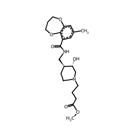 COC(=O)CCCN1CC[C@@H](CNC(=O)c2cc(C)cc3c2OCCCO3)[C@H](O)C1